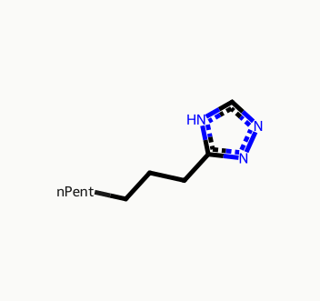 CCCCCCCCc1nnc[nH]1